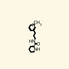 CN1C=C(CCCNC(=O)[C@@H]2CCCCN2)C=CC1